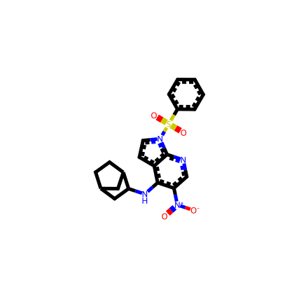 O=[N+]([O-])c1cnc2c(ccn2S(=O)(=O)c2ccccc2)c1NC1CC2CCC1C2